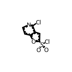 O=S(=O)(Cl)c1cc2c(Cl)nccc2o1